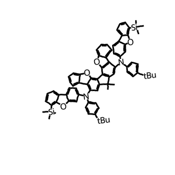 CC(C)(C)c1ccc(N(c2ccc3c(c2)oc2c([Si](C)(C)C)cccc23)c2cc3c(c4oc5ccccc5c24)-c2c(cc(N(c4ccc(C(C)(C)C)cc4)c4ccc5c(c4)oc4c([Si](C)(C)C)cccc45)c4c2oc2ccccc24)C3(C)C)cc1